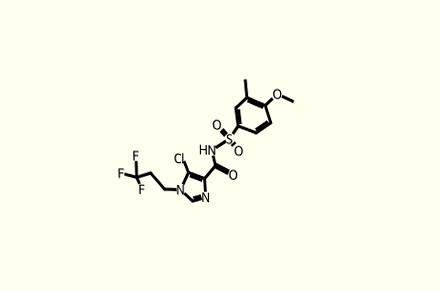 COc1ccc(S(=O)(=O)NC(=O)c2ncn(CCC(F)(F)F)c2Cl)cc1C